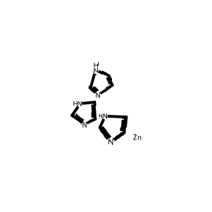 [Zn].c1c[nH]cn1.c1c[nH]cn1.c1c[nH]cn1